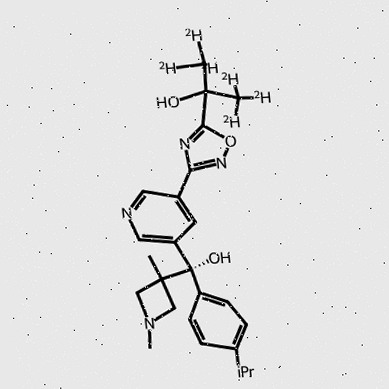 [2H]C([2H])([2H])C(O)(c1nc(-c2cncc([C@@](O)(c3ccc(C(C)C)cc3)C3(C)CN(C)C3)c2)no1)C([2H])([2H])[2H]